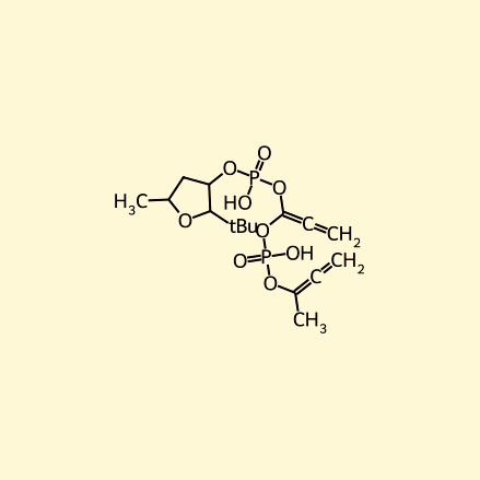 C=C=C(C)OP(=O)(O)OC(=C=C)OP(=O)(O)OC1CC(C)OC1C(C)(C)C